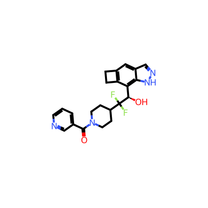 O=C(c1cccnc1)N1CCC(C(F)(F)[C@H](O)c2c3c(cc4cn[nH]c24)CC3)CC1